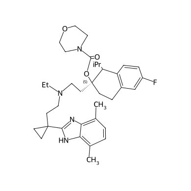 CCN(CCC1(c2nc3c(C)ccc(C)c3[nH]2)CC1)CC[C@@]1(OC(=O)N2CCOCC2)CCc2cc(F)ccc2C1C(C)C